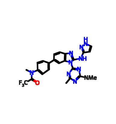 CNc1nc(C)nc(-n2c(Nc3cc[nH]n3)nc3ccc(-c4ccc(N(C)C(=O)C(F)(F)F)cc4)cc32)n1